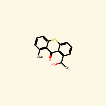 COc1cccc2sc3cccc(C(C)O)c3c(=O)c12